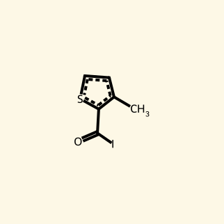 Cc1ccsc1C(=O)I